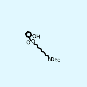 CCCCCCCCCCCCCCCCCCOC(=O)c1ccccc1O